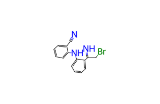 N#Cc1ccccc1Nc1ccccc1C(=N)CBr